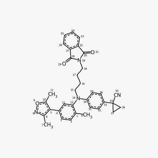 Cc1ccc(-c2c(C)noc2C)cc1N(CCCCN1C(=O)c2ccccc2C1=O)c1ccc(C2(C#N)CC2)cc1